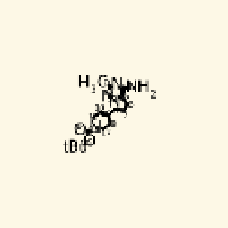 Cc1nc(N)c2ccc(C3=CCN(C(=O)OC(C)(C)C)CC3)n2n1